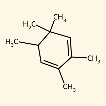 [CH2]C1(C)C=C(C)C(C)=CC1C